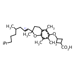 Cc1c(C)c2c(c(C)c1OC1CC(C(=O)O)C1)CCC(C)(/C=C/CC(C)CCCC(C)C)O2